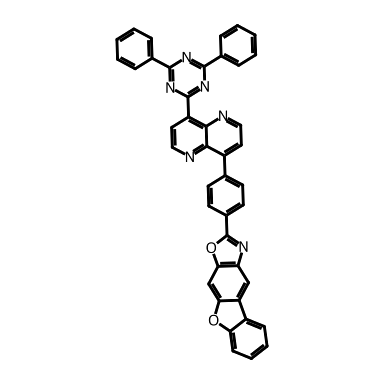 c1ccc(-c2nc(-c3ccccc3)nc(-c3ccnc4c(-c5ccc(-c6nc7cc8c(cc7o6)oc6ccccc68)cc5)ccnc34)n2)cc1